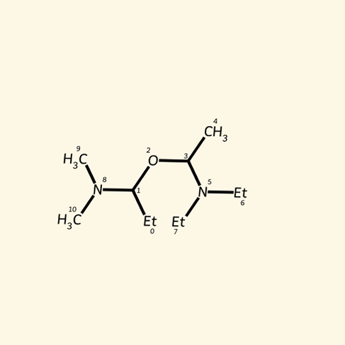 CCC(OC(C)N(CC)CC)N(C)C